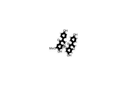 COc1cc2c(=O)c(-c3ccc(O)cc3)coc2cc1O.O=c1c(-c2ccc(O)cc2)coc2cc(O)cc(O)c12